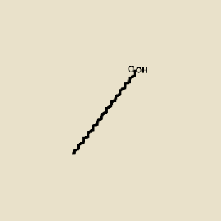 CCCCCCCCCCCCCCCCCCCCCCCCC=CCC(=O)O